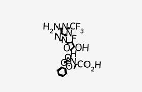 C[C@H](NP(=O)(OC[C@H]1O[C@@H](n2cnc3c(N)nc(C(F)(F)F)nc32)[C@@H](F)[C@@H]1O)Oc1ccccc1)C(=O)O